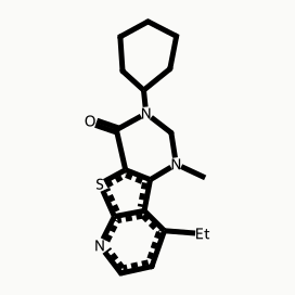 CCc1ccnc2sc3c(c12)N(C)CN(C1CCCCC1)C3=O